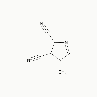 CN1C=NC(C#N)C1C#N